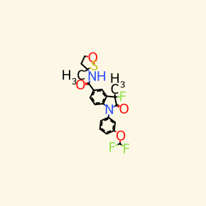 CC1(NC(=O)c2ccc3c(c2)C(C)(F)C(=O)N3c2cccc(OC(F)F)c2)CCOS1